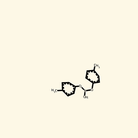 Cc1ccc(OB(O)Oc2ccc(C)cc2)cc1